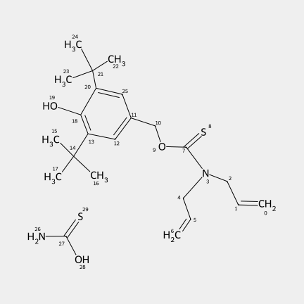 C=CCN(CC=C)C(=S)OCc1cc(C(C)(C)C)c(O)c(C(C)(C)C)c1.NC(O)=S